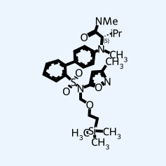 CNC(=O)[C@H](C(C)C)N(C)c1ccc(-c2ccccc2S(=O)(=O)N(COCC[Si](C)(C)C)c2cc(C)no2)cc1